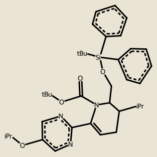 CC(C)Oc1cnc(C2=CCC(C(C)C)C(CO[Si](c3ccccc3)(c3ccccc3)C(C)(C)C)N2C(=O)OC(C)(C)C)nc1